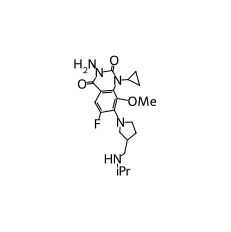 COc1c(N2CCC(CNC(C)C)C2)c(F)cc2c(=O)n(N)c(=O)n(C3CC3)c12